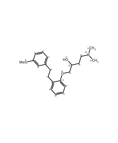 COc1cccc(CCc2ccccc2OCC(O)CCN(C)C)c1